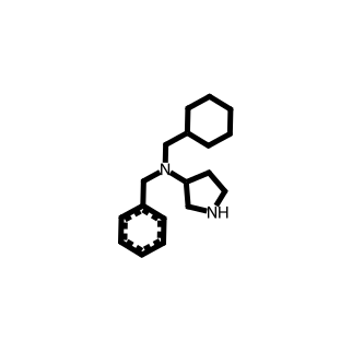 c1ccc(CN(CC2CCCCC2)C2CCNC2)cc1